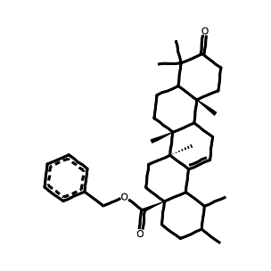 CC1CC[C@]2(C(=O)OCc3ccccc3)CC[C@]3(C)C(=CCC4[C@@]5(C)CCC(=O)C(C)(C)C5CC[C@]43C)C2C1C